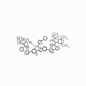 COC(=O)NC(C(=O)N1CCC[C@H]1c1ncc(-c2ccc3c(c2)cc2n3C(c3ccc(C4CCCC4)s3)Oc3cc(-c4cnc([C@@H]5CCCN5C(=O)[C@@H](NC(=O)OC)C(C)C)[nH]4)cc(F)c3-2)[nH]1)C1C[C@@H](C)O[C@@H](C)C1